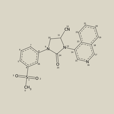 CS(=O)(=O)c1cccc(N2CC(C#N)N(c3cncc4ccccc34)C2=O)c1